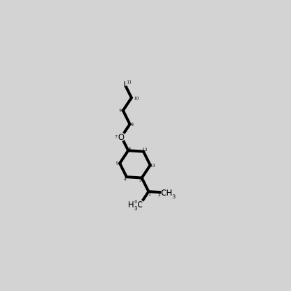 CC(C)C1CCC(OCCCI)CC1